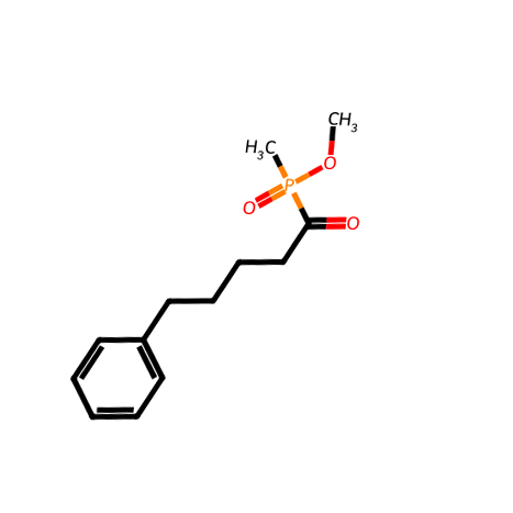 COP(C)(=O)C(=O)CCCCc1ccccc1